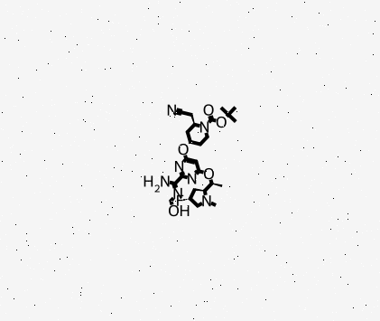 C[C@H](Oc1cc(O[C@H]2CCN(C(=O)OC(C)(C)C)[C@H](CC#N)C2)nc(C(N)=NCO)n1)[C@@H]1C[C@@H](F)CN1C